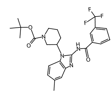 Cc1ccc2c(c1)nc(NC(=O)c1cccc(C(F)(F)F)c1)n2C1CCCN(C(=O)OC(C)(C)C)C1